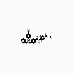 CC(=O)N1C[C@@H]2[C@H](C1)[C@H]2NC(=O)c1ccc(CN(Cc2cccnc2)S(=O)(=O)c2ccc(C#N)cc2)cc1